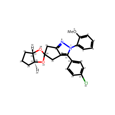 COc1ccccc1-n1nc2c(c1-c1ccc(Cl)cc1)CC1(C2)O[C@H]2CCC[C@@H]2O1